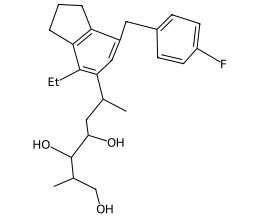 CCc1c(C(C)CC(O)C(O)C(C)CO)cc(Cc2ccc(F)cc2)c2c1CCC2